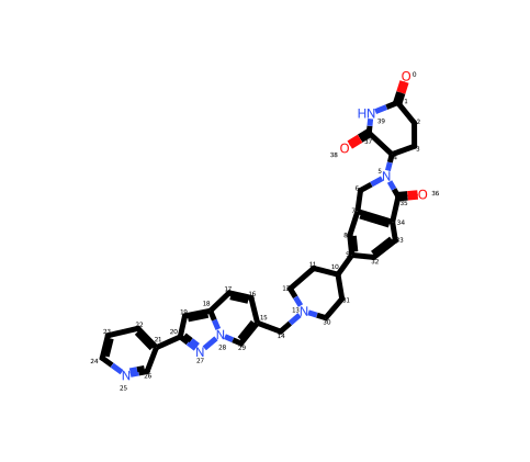 O=C1CCC(N2Cc3cc(C4CCN(Cc5ccc6cc(-c7cccnc7)nn6c5)CC4)ccc3C2=O)C(=O)N1